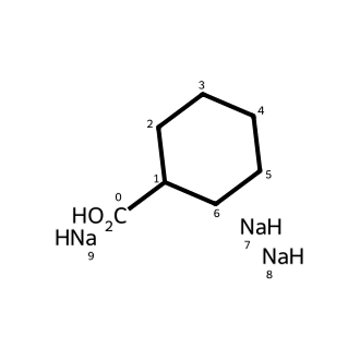 O=C(O)C1CCCCC1.[NaH].[NaH].[NaH]